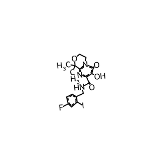 CC1(C)OCCn2c1nc(C(=O)NCc1ccc(F)cc1I)c(O)c2=O